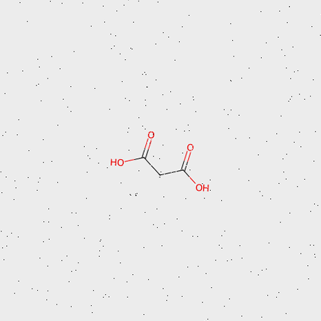 O=C(O)[CH]C(=O)O